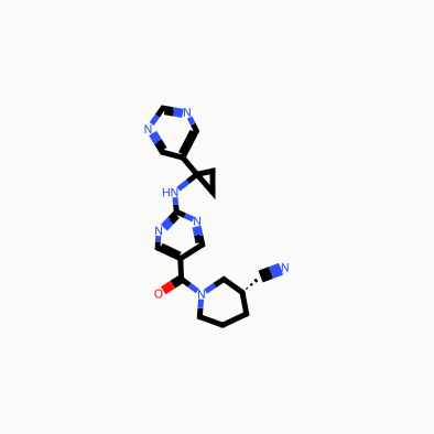 N#C[C@@H]1CCCN(C(=O)c2cnc(NC3(c4cncnc4)CC3)nc2)C1